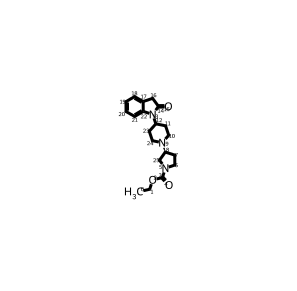 CCOC(=O)N1CC[C@@H](N2CCC(N3C(=O)Cc4ccccc43)CC2)C1